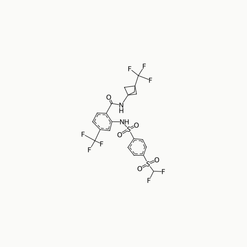 O=C(NC12CC(C(F)(F)F)(C1)C2)c1ccc(C(F)(F)F)cc1NS(=O)(=O)c1ccc(S(=O)(=O)C(F)F)cc1